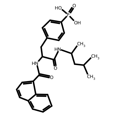 CC(C)CC(C)NC(=O)C(Cc1ccc(P(=O)(O)O)cc1)NC(=O)c1cccc2ccccc12